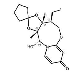 C[C@@]12OC3(CCCC3)O[C@@H]1[C@@H](CI)COc1nc(=O)ccn1[C@@H]2O